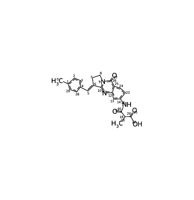 Cc1ccc(/C=C2\CCn3c2nc2cc(NC(=O)C(C)C(=O)O)ccc2c3=O)cc1